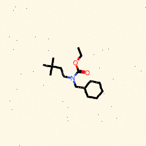 CCOC(=O)N(CCC(C)(C)C)CC1CCCCC1